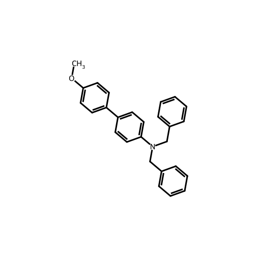 COc1ccc(-c2ccc(N(Cc3ccccc3)Cc3ccccc3)cc2)cc1